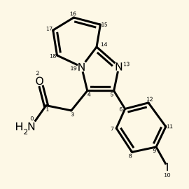 NC(=O)Cc1c(-c2ccc(I)cc2)nc2ccccn12